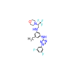 Cc1cc(NCC(N2CCOCC2)C(F)(F)F)cc(Nc2ncn(-c3cc(F)cc(F)c3)n2)c1